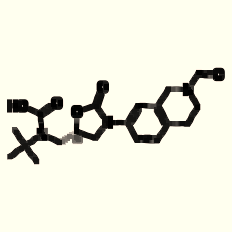 CC(C)(C)N(C[C@H]1CN(c2ccc3c(c2)CN(C=O)CC3)C(=O)O1)C(=O)O